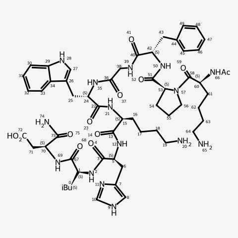 CC[C@H](C)[C@H](NC(=O)[C@H](Cc1c[nH]cn1)NC(=O)[C@H](CCCCN)NC(=O)[C@H](Cc1c[nH]c2ccccc12)NC(=O)CNC(=O)[C@H](Cc1ccccc1)NC(=O)[C@@H]1CCCN1C(=O)[C@H](CCCCN)NC(C)=O)C(=O)N[C@@H](CC(=O)O)C(N)=O